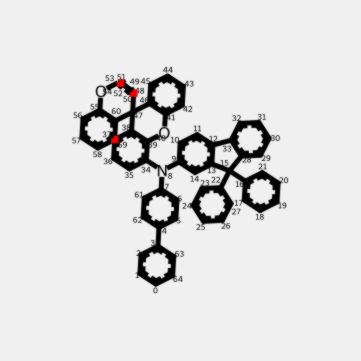 c1ccc(-c2ccc(N(c3ccc4c(c3)C(c3ccccc3)(c3ccccc3)c3ccccc3-4)c3cccc4c3Oc3ccccc3C43c4ccccc4Oc4ccccc43)cc2)cc1